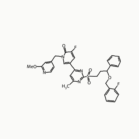 COc1cc(Cn2cc(-c3cc(C)nc(S(=O)(=O)CCC(OCc4ccccc4F)c4ccccc4)n3)cc(F)c2=O)ccn1